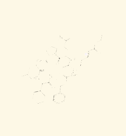 CCOC(=O)/C=C/CC[C@H](NC(=O)OCc1ccccc1)C(=O)N[C@@H](CCC(N)=O)C(=O)N1CCC[C@H]1C(=O)N[C@@H](CC(C)C)C(=O)N[C@H](C(N)=O)C1CCCCC1